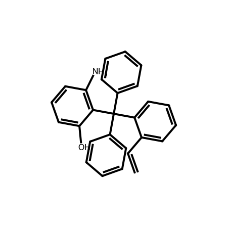 C=Cc1ccccc1C(c1ccccc1)(c1ccccc1)c1c(N)cccc1O